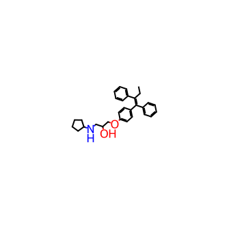 CC/C(=C(\c1ccccc1)c1ccc(OCC(O)CNC2CCCC2)cc1)c1ccccc1